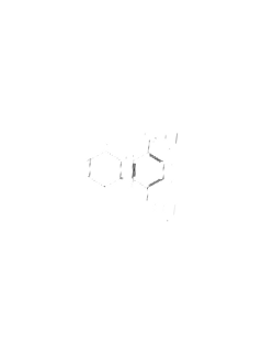 C1CCCCC1.O=C(O)c1ccc(C(=O)O)cc1